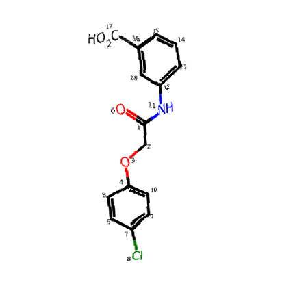 O=C(COc1ccc(Cl)cc1)Nc1cccc(C(=O)O)c1